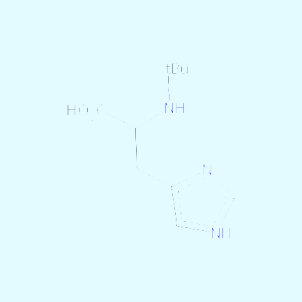 CC(C)(C)NC(Cc1c[nH]cn1)C(=O)O